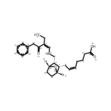 CCC(=CNC[C@@H]1[C@H](C/C=C\CCCC(=O)O)[C@@H]2CC[C@H]1O2)C(=O)Cc1ccccc1